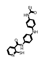 CCC(=O)Nc1ccc(Nc2ccc(NC(=O)c3cccnc3S)cc2)cc1